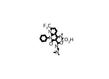 CN(C)C=NC(=O)c1c(N(C)C(=O)O)c2ccc(C(F)(F)F)nc2n(-c2ccccc2)c1=O